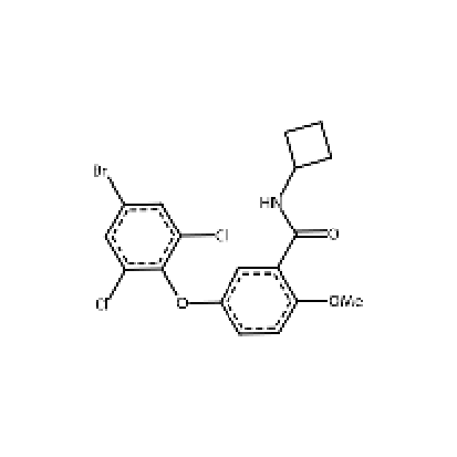 COc1ccc(Oc2c(Cl)cc(Br)cc2Cl)cc1C(=O)NC1CCC1